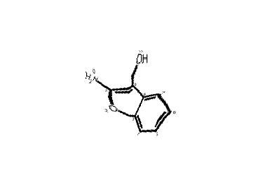 Nc1oc2ccccc2c1O